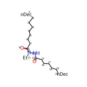 CCCCCCCCCCCCCCCCCC(=O)N(CC)NC(=O)CCCCCCCCCCCCCCC